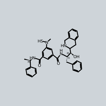 C[C@@H](NC(=O)c1cc(C(=O)N[C@@H](Cc2ccccc2)[C@H](O)C2Cc3ccccc3CN2)cc(N(C)S)c1)c1ccccc1